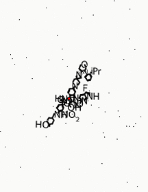 CC(C)c1ccccc1[C@@H]1COCC[C@@H]1N1CC2(CCN(c3ccc(C(=O)NS(=O)(=O)c4ccc(NCC5CCC(C)(O)CC5)c([N+](=O)[O-])c4)c(N4c5cc6c(F)c[nH]c6nc5O[C@H]5COCC[C@@H]54)c3)CC2)C1